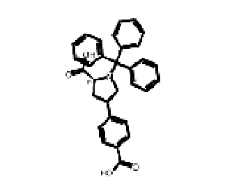 O=C(O)c1ccc(C2C[C@@H](C(=O)O)N(C(c3ccccc3)(c3ccccc3)c3ccccc3)C2)cc1